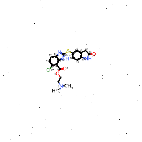 CN(C)CCOC(=O)c1c(Cl)ccc2nc(Sc3ccc4c(c3)CC(=O)N4)[nH]c12